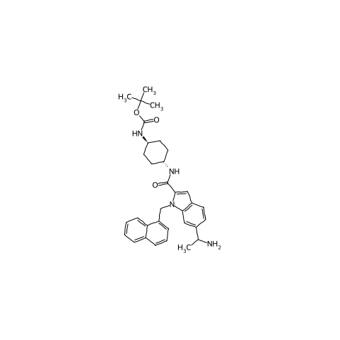 CC(N)c1ccc2cc(C(=O)N[C@H]3CC[C@H](NC(=O)OC(C)(C)C)CC3)n(Cc3cccc4ccccc34)c2c1